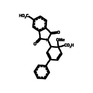 COC1(C(=O)O)C=CC(c2ccccc2)=CC1N1C(=O)c2ccc(C(=O)O)cc2C1=O